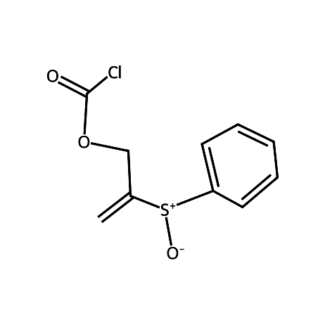 C=C(COC(=O)Cl)[S+]([O-])c1ccccc1